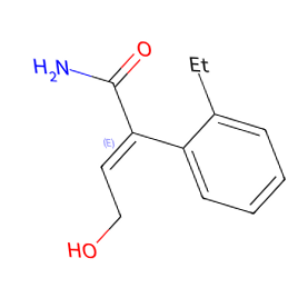 CCc1ccccc1/C(=C\CO)C(N)=O